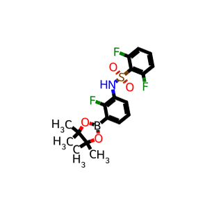 CC1(C)OB(c2cccc(NS(=O)(=O)c3c(F)cccc3F)c2F)OC1(C)C